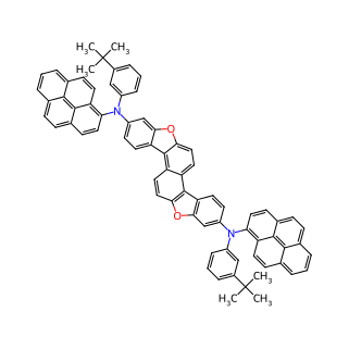 CC(C)(C)c1cccc(N(c2ccc3c(c2)oc2ccc4c(ccc5oc6cc(N(c7cccc(C(C)(C)C)c7)c7ccc8ccc9cccc%10ccc7c8c9%10)ccc6c54)c23)c2ccc3ccc4cccc5ccc2c3c45)c1